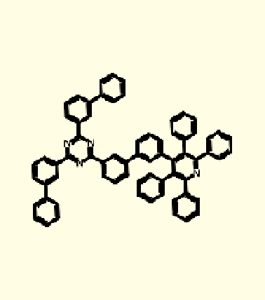 c1ccc(-c2cccc(-c3nc(-c4cccc(-c5ccccc5)c4)nc(-c4cccc(-c5cccc(-c6c(-c7ccccc7)c(-c7ccccc7)nc(-c7ccccc7)c6-c6ccccc6)c5)c4)n3)c2)cc1